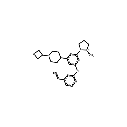 C[C@@H]1CCCN1c1cc(C2CCN(C3COC3)CC2)cc(Nc2cc(C=N)ccn2)n1